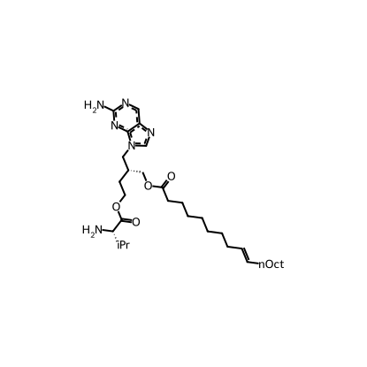 CCCCCCCC/C=C/CCCCCCCC(=O)OC[C@H](CCOC(=O)[C@@H](N)C(C)C)Cn1cnc2cnc(N)nc21